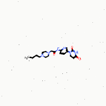 CCCCN1CCN(CC(=O)Nc2ccc(N3CCC(=O)NC3=O)cn2)CC1